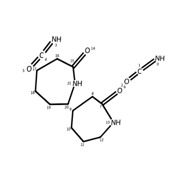 N=C=O.N=C=O.O=C1CCCCCN1.O=C1CCCCCN1